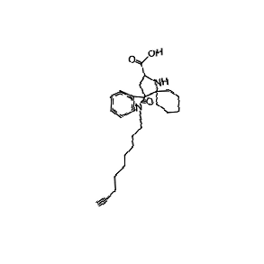 C#CCCCCCCCN1C(=O)C2(CC(C(=O)O)NC23CCCCC3)c2ccccc21